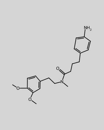 COc1ccc(CCN(C)C(=O)CCCc2ccc(N)cc2)cc1OC